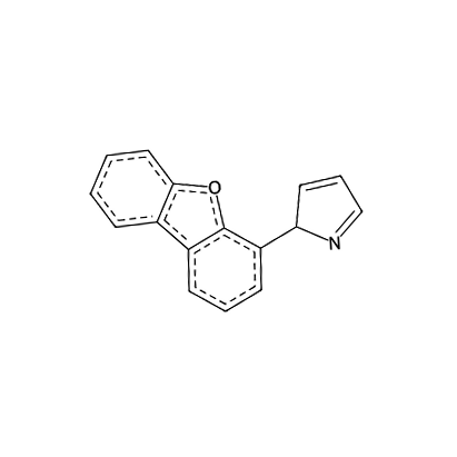 C1=CC(c2cccc3c2oc2ccccc23)N=C1